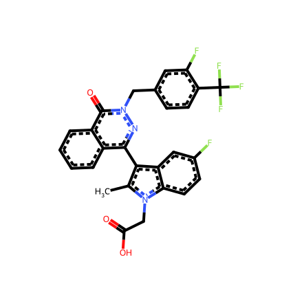 Cc1c(-c2nn(Cc3ccc(C(F)(F)F)c(F)c3)c(=O)c3ccccc23)c2cc(F)ccc2n1CC(=O)O